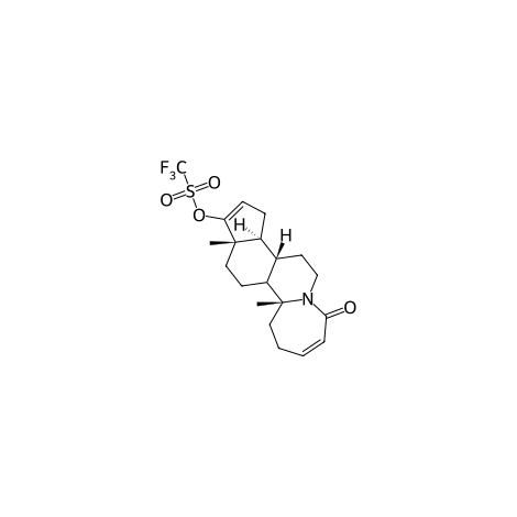 C[C@]12CCC3[C@@H](CCN4C(=O)C=CCC[C@]34C)[C@@H]1CC=C2OS(=O)(=O)C(F)(F)F